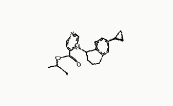 CC(C)OC(=O)c1cncn1C1CCCc2cc(C3CC3)ccc21